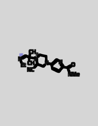 CC/N=C\C(C)(C)N1CCN(c2ccc(C(=O)NC)nc2)CC1C#N